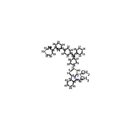 C=CC1=C2C(=CC=C(c3ccc(N(c4ccccc4)c4ccc(-c5cccc(C6=CC=CCC=N6)n5)cc4)cc3)C1)c1ccccc1/C2=C/C